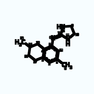 Cc1cc2c(c(N=C3NCCN3)c1)CC(C)CC2